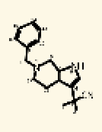 CC(C)(C#N)C1=CNC2CN(Cc3ccccc3)CCC12